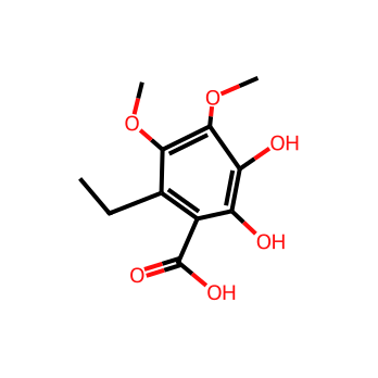 CCc1c(OC)c(OC)c(O)c(O)c1C(=O)O